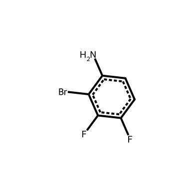 Nc1ccc(F)c(F)c1Br